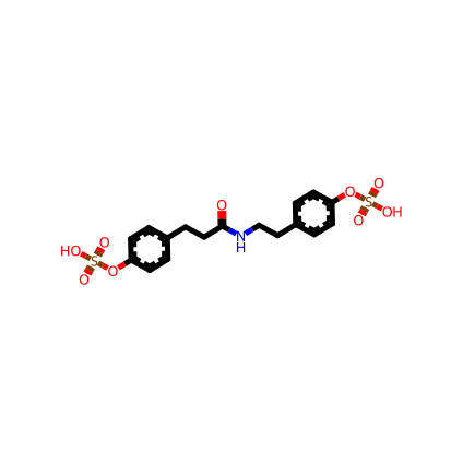 O=C(CCc1ccc(OS(=O)(=O)O)cc1)NCCc1ccc(OS(=O)(=O)O)cc1